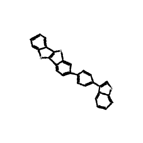 c1ccc2c(-c3ccc(-c4ccc5c(c4)sc4c6ccccc6sc54)cc3)csc2c1